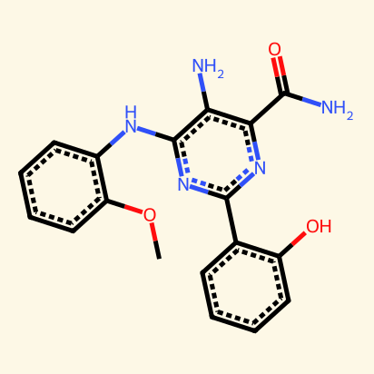 COc1ccccc1Nc1nc(-c2ccccc2O)nc(C(N)=O)c1N